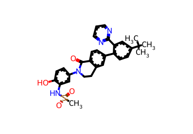 CC(C)(C)c1ccc(-c2ccc3c(c2)CCN(c2ccc(O)c(NS(C)(=O)=O)c2)C3=O)c(-c2ncccn2)c1